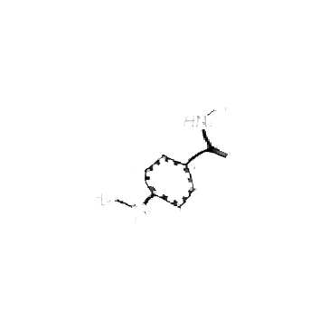 C=C(NCC)c1ccc(NC(C)(C)C)cc1